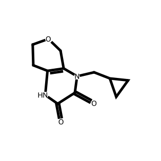 O=c1[nH]c2c(n(CC3CC3)c1=O)COCC2